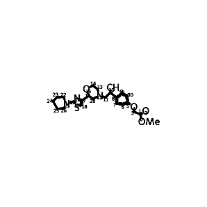 COC(=O)COc1ccc(C(C)CN2CCOC(c3csc(N4CCCCC4)n3)C2)cc1